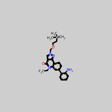 C[Si](C)(C)CCOCn1cc2c(=O)n(CC(F)(F)F)c3cc(-c4ccccc4N)ccc3c2n1